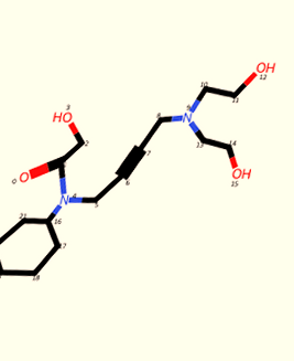 O=C(CO)N(CC#CCN(CCO)CCO)C1CCCCC1